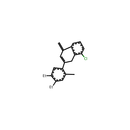 C=C1C=C(c2cc(CC)c(CC)cc2C)Cc2c(Cl)cccc21